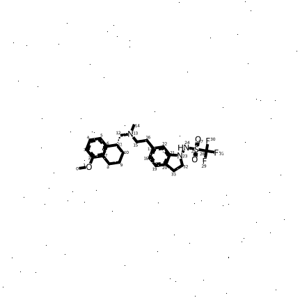 COc1cccc2c1CCC[C@H]2CN(C)CCc1ccc2c(c1)N(NS(=O)(=O)C(F)(F)F)CC2